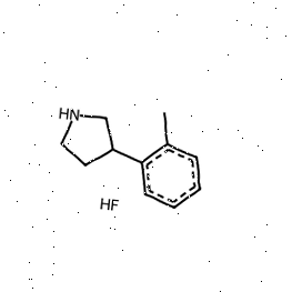 Cc1ccccc1C1CCNC1.F